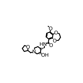 COc1ccc(C(=O)NC[C@@H]2CCN(CC3CCCO3)C[C@H]2O)c2c1OCCCO2